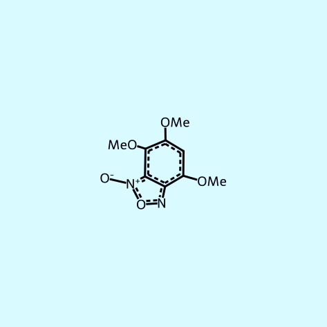 COc1cc(OC)c2no[n+]([O-])c2c1OC